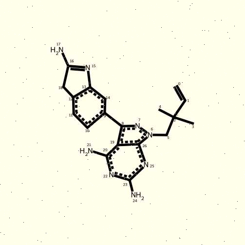 C=CC(C)(C)Cn1nc(-c2ccc3c(c2)N=C(N)C3)c2c(N)nc(N)nc21